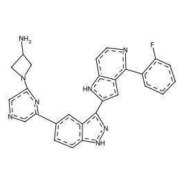 NC1CN(c2cncc(-c3ccc4[nH]nc(-c5cc6c(-c7ccccc7F)nccc6[nH]5)c4c3)n2)C1